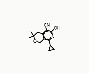 CC1(C)Cc2c(C#N)c(O)nc(C3CC3)c2CO1